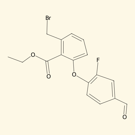 CCOC(=O)c1c(CBr)cccc1Oc1ccc(C=O)cc1F